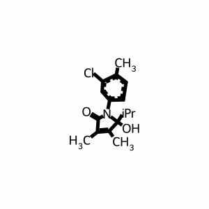 CC1=C(C)C(O)(C(C)C)N(c2ccc(C)c(Cl)c2)C1=O